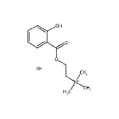 C[N+](C)(C)CCOC(=O)c1ccccc1O.[KH]